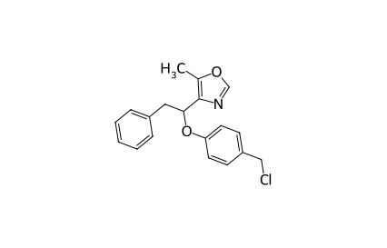 Cc1ocnc1C(Cc1ccccc1)Oc1ccc(CCl)cc1